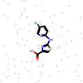 O=C(O)c1csc(Nc2ccc(Br)cn2)n1